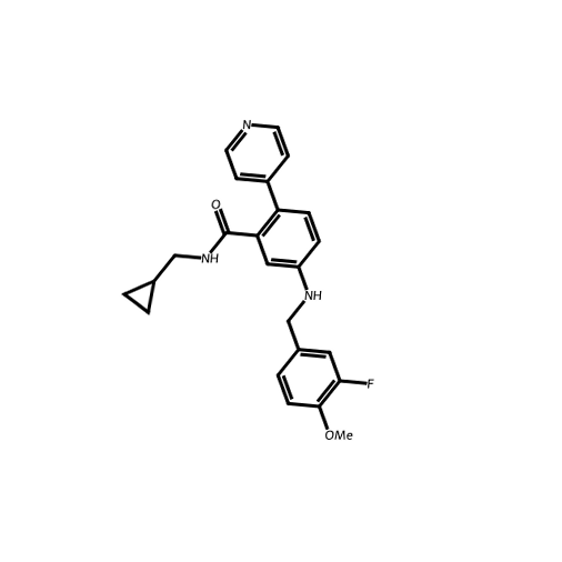 COc1ccc(CNc2ccc(-c3ccncc3)c(C(=O)NCC3CC3)c2)cc1F